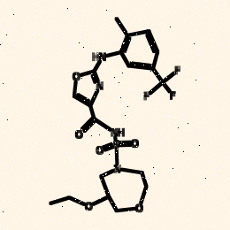 CCOC1COCCN(S(=O)(=O)NC(=O)c2coc(Nc3cc(C(F)(F)F)ccc3C)n2)C1